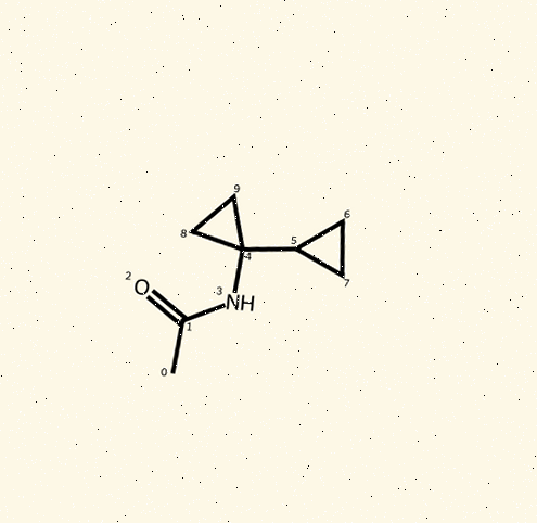 CC(=O)NC1(C2CC2)CC1